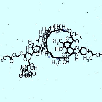 CCC(=O)OCOC(=O)N[C@@H](CCC(=O)NC(P(=O)(O)O)P(=O)(O)O)C(=O)N(C)CC(=O)O[C@@H]1[C@@H](C)[C@@H](O)[C@@H](C)[C@H](C)[C@H](C)[C@@H](C)/C=C/O[C@@]2(C)Oc3c(C)c(O)c4c(c3C2=O)C2=NC3(CCN(CC(C)C)CC3)NC2=C(NC(=O)/C(C)=C\C=C\[C@@H]1C)C4=O